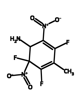 CC1=C(F)C(F)([N+](=O)[O-])C(N)C([N+](=O)[O-])=C1F